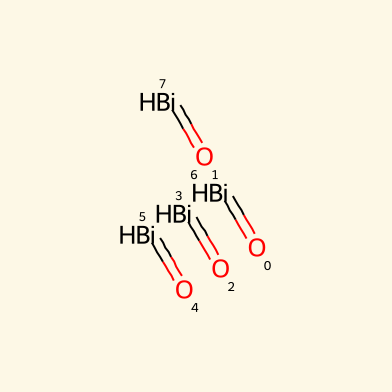 [O]=[BiH].[O]=[BiH].[O]=[BiH].[O]=[BiH]